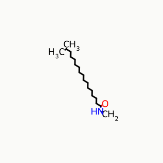 [CH2]NC(=O)CCCCCCCCCCCCCCC(C)C